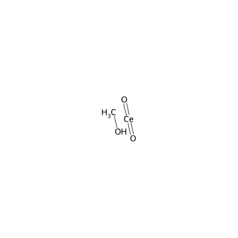 CO.[O]=[Ce]=[O]